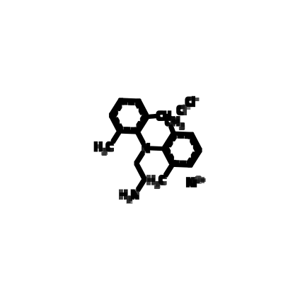 Cc1cccc(C)c1N(CCN)c1c(C)cccc1C.[Cl-].[Cl-].[Ni+2]